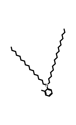 CCCCCCCCCCCCCCCCCCN(CCCCCCCCCCCCCCCC)c1ccccc1C